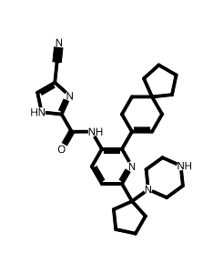 N#Cc1c[nH]c(C(=O)Nc2ccc(C3(N4CCNCC4)CCCC3)nc2C2=CCC3(CCCC3)CC2)n1